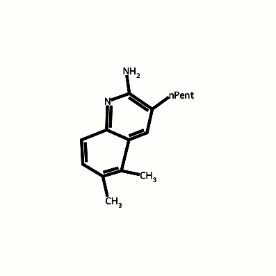 CCCCCc1cc2c(C)c(C)ccc2nc1N